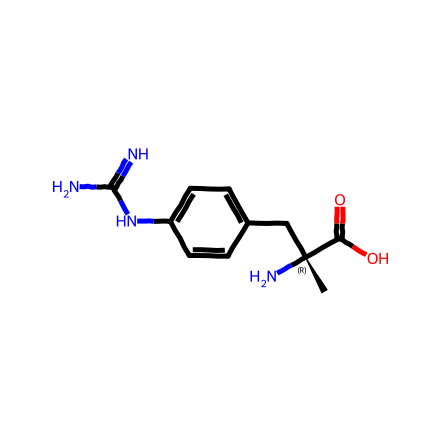 C[C@@](N)(Cc1ccc(NC(=N)N)cc1)C(=O)O